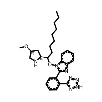 CCCCCCCCC(On1c(-c2ccccc2-c2nn[nH]n2)nc2ccccc21)[C@@H]1C[C@H](OC)CN1